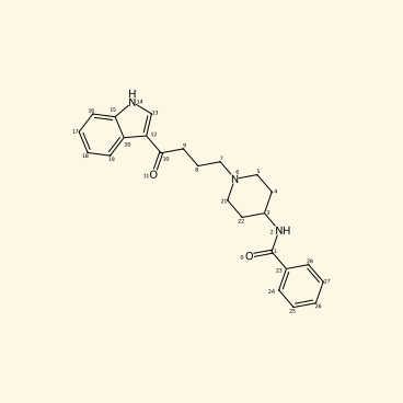 O=C(NC1CCN(CCCC(=O)c2c[nH]c3ccccc23)CC1)c1ccccc1